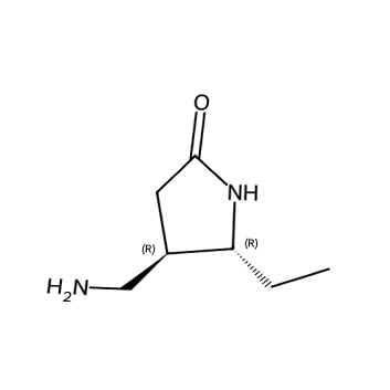 CC[C@H]1NC(=O)C[C@@H]1CN